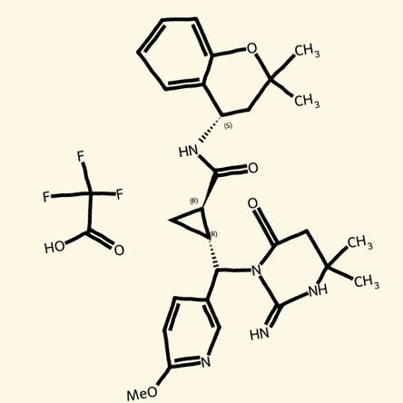 COc1ccc(C([C@@H]2C[C@H]2C(=O)N[C@H]2CC(C)(C)Oc3ccccc32)N2C(=N)NC(C)(C)CC2=O)cn1.O=C(O)C(F)(F)F